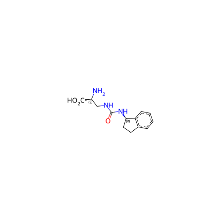 N[C@@H](CNC(=O)N[C@@H]1CCc2ccccc21)C(=O)O